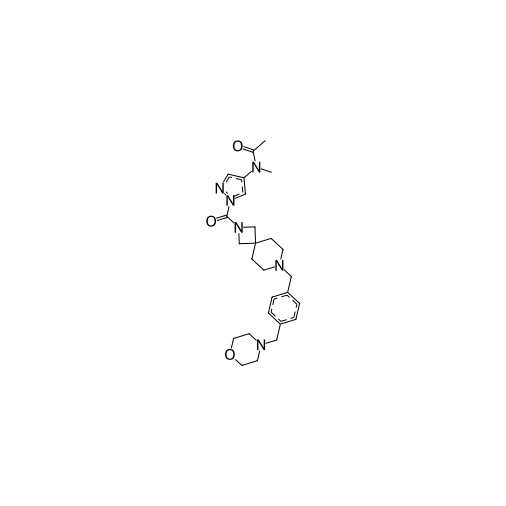 CC(=O)N(C)c1cnn(C(=O)N2CC3(CCN(Cc4ccc(CN5CCOCC5)cc4)CC3)C2)c1